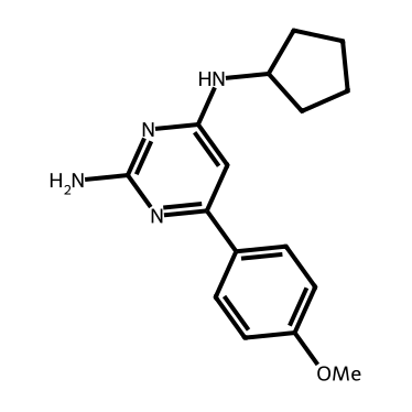 COc1ccc(-c2cc(NC3CCCC3)nc(N)n2)cc1